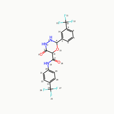 O=C1NNC(c2cccc(C(F)(F)F)c2)OC1C(=O)Nc1ccc(C(F)(F)F)cc1